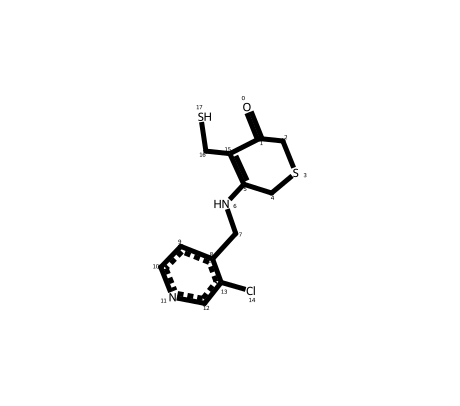 O=C1CSCC(NCc2ccncc2Cl)=C1CS